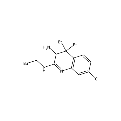 CCC(C)CNC1=Nc2cc(Cl)ccc2C(CC)(CC)C1N